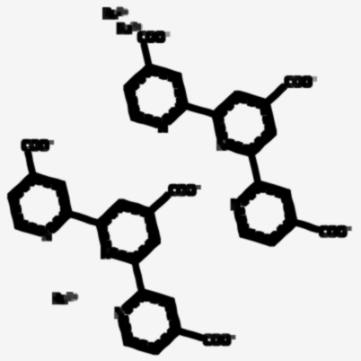 O=C([O-])c1ccnc(-c2cc(C(=O)[O-])cc(-c3cc(C(=O)[O-])ccn3)n2)c1.O=C([O-])c1ccnc(-c2cc(C(=O)[O-])cc(-c3cc(C(=O)[O-])ccn3)n2)c1.[Ru+2].[Ru+2].[Ru+2]